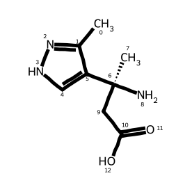 Cc1n[nH]cc1[C@@](C)(N)CC(=O)O